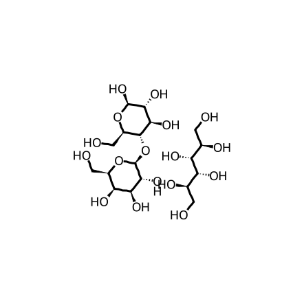 OC[C@@H](O)[C@@H](O)[C@H](O)[C@H](O)CO.OC[C@H]1O[C@@H](O[C@H]2[C@H](O)[C@@H](O)[C@H](O)O[C@@H]2CO)[C@H](O)[C@@H](O)[C@H]1O